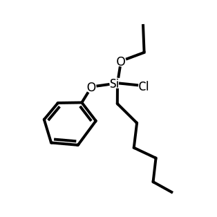 CCCCCC[Si](Cl)(OCC)Oc1ccccc1